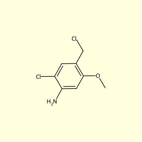 COc1cc(N)c(Cl)cc1CCl